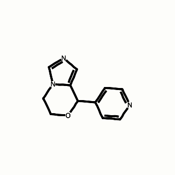 c1cc(C2OCCn3cncc32)ccn1